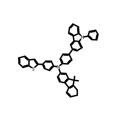 CC1(C)C2=C(C=CCC2)c2ccc(N(c3ccc(-c4ccc5c(c4)c4ccccc4n5-c4ccccc4)cc3)c3ccc(-c4cc5ccccc5s4)cc3)cc21